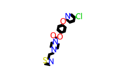 O=C(Oc1ccc(Oc2ccc(Cl)cn2)cc1)N1CCN(CCc2nccs2)CC1